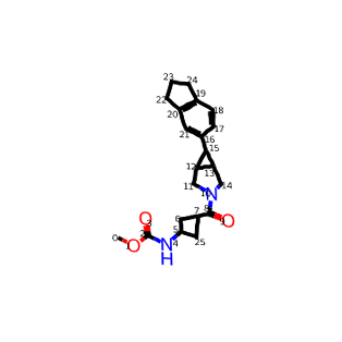 COC(=O)NC1CC(C(=O)N2CC3C(C2)C3c2ccc3c(c2)CCC3)C1